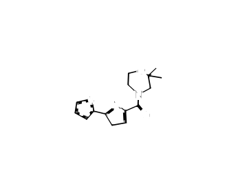 CC1(C)CN(C(=O)C2=CCC(c3cccs3)=N2)CCO1